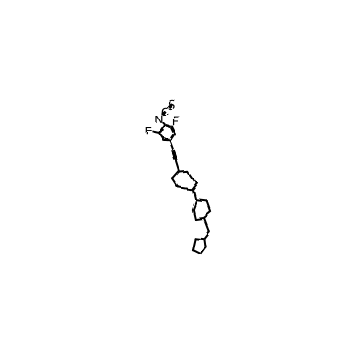 Fc1cc(C#CC2CCC(C3CCC(CC4CCCC4)CC3)CC2)cc(F)c1N=C=S